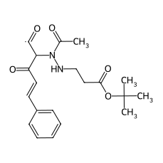 CC(=O)N(NCCC(=O)OC(C)(C)C)C([C]=O)C(=O)C=Cc1ccccc1